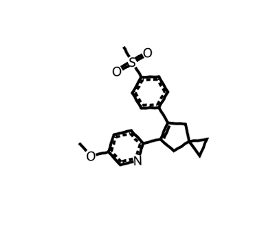 COc1ccc(C2=C(c3ccc(S(C)(=O)=O)cc3)CC3(CC3)C2)nc1